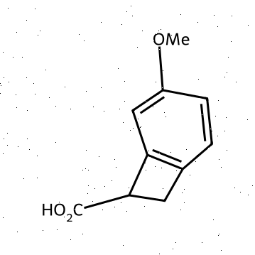 COc1ccc2c(c1)C(C(=O)O)C2